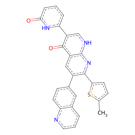 Cc1ccc(-c2nc3[nH]cc(-c4cccc(=O)[nH]4)c(=O)c3cc2-c2ccc3ncccc3c2)s1